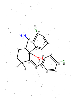 CC1(C)CCC(CN)C(O)(c2cccc(Cl)c2)C1=Cc1ccc(Cl)cc1